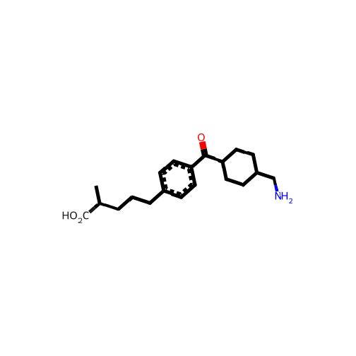 CC(CCCc1ccc(C(=O)C2CCC(CN)CC2)cc1)C(=O)O